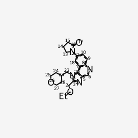 CCOCc1nc2cnc3ccc(N4CCCC4=O)cc3c2n1CC1CCOCC1